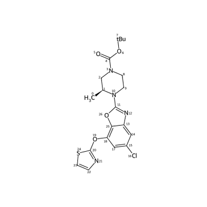 C[C@H]1CN(C(=O)OC(C)(C)C)CCN1c1nc2cc(Cl)cc(Oc3nccs3)c2o1